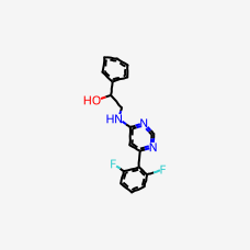 OC(CNc1cc(-c2c(F)cccc2F)ncn1)c1ccccc1